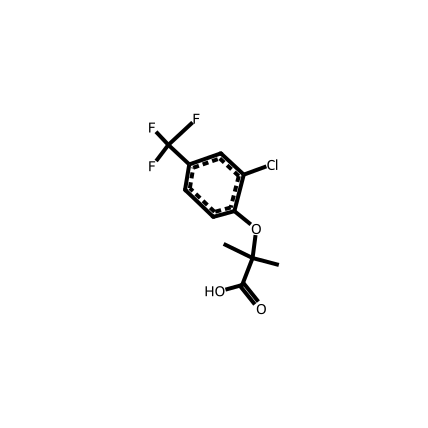 CC(C)(Oc1ccc(C(F)(F)F)cc1Cl)C(=O)O